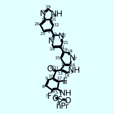 CCCS(=O)(=O)Nc1c(F)ccc(C(=O)c2c[nH]c3ncc(-c4cnc(-c5ccc6nc[nH]c6c5)nc4)cc23)c1F